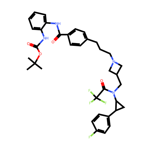 CC(C)(C)OC(=O)Nc1ccccc1NC(=O)c1ccc(CCCN2CC(CN(C(=O)C(F)(F)F)C3CC3c3ccc(F)cc3)C2)cc1